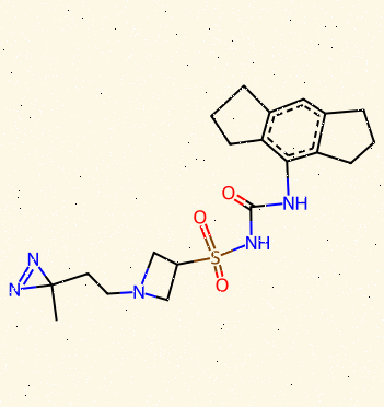 CC1(CCN2CC(S(=O)(=O)NC(=O)Nc3c4c(cc5c3CCC5)CCC4)C2)N=N1